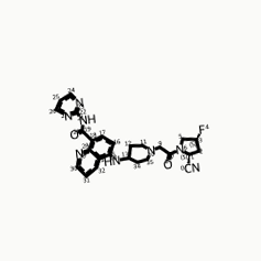 N#C[C@@H]1C[C@H](F)CN1C(=O)CN1CCC(Nc2ccc(C(=O)Nc3ncccn3)c3ncccc23)CC1